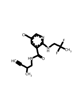 C#CC(C)CNC(=O)c1cc(Cl)cnc1NCC(C)(F)F